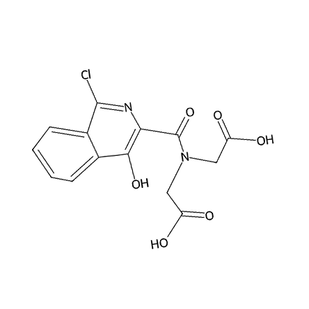 O=C(O)CN(CC(=O)O)C(=O)c1nc(Cl)c2ccccc2c1O